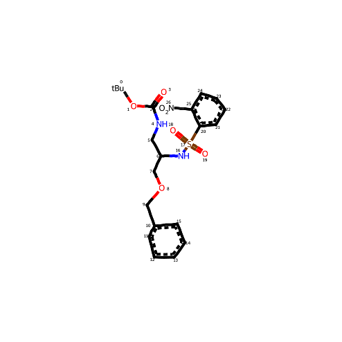 CC(C)(C)OC(=O)NCC(COCc1ccccc1)NS(=O)(=O)c1ccccc1[N+](=O)[O-]